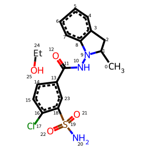 CC1Cc2ccccc2N1NC(=O)c1ccc(Cl)c(S(N)(=O)=O)c1.CCO